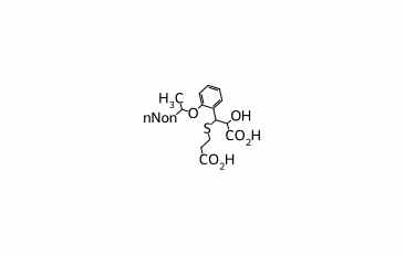 CCCCCCCCCC(C)Oc1ccccc1C(SCCC(=O)O)C(O)C(=O)O